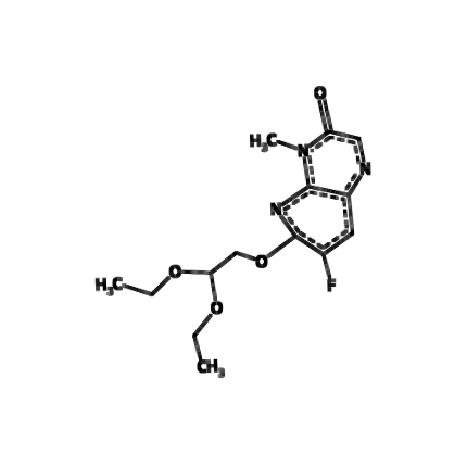 CCOC(COc1nc2c(cc1F)ncc(=O)n2C)OCC